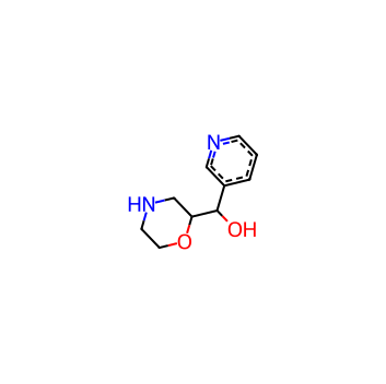 OC(c1cccnc1)C1CNCCO1